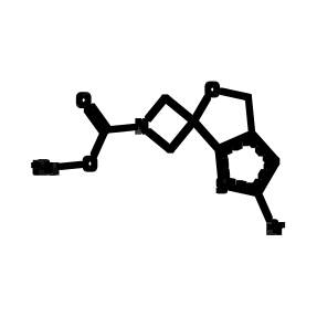 CC(C)(C)OC(=O)N1CC2(C1)OCc1cc(Br)sc12